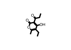 CCC(=O)c1c(O)c(CC)c(C)oc1=O